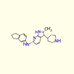 CC1Nc2nc(Nc3ccc4c(c3)CCC4)ccc2C1C1CCNCC1